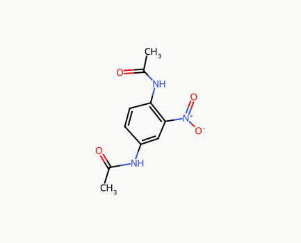 CC(=O)Nc1ccc(NC(C)=O)c([N+](=O)[O-])c1